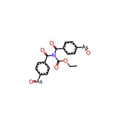 CCOC(=O)N(C(=O)c1ccc([As]=O)cc1)C(=O)c1ccc([As]=O)cc1